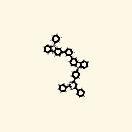 c1ccc(-c2cc(-c3ccc(-n4c5ccccc5c5cc(-c6cccc(-c7ccc8c9ccccc9n(-c9ccccc9)c8c7)c6)ccc54)cc3)nc(-c3ccccc3)n2)cc1